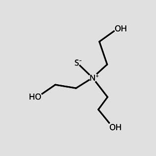 OCC[N+]([S-])(CCO)CCO